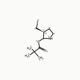 CC(C)(C)C(=O)OC1NCC[C@@H]1CF